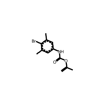 C=C(C)OC(=O)Nc1cc(C)c(Br)c(C)c1